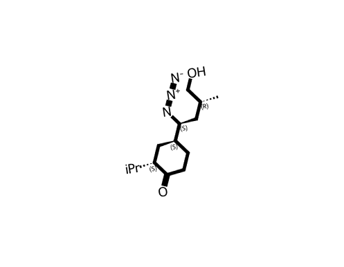 CC(C)[C@@H]1C[C@@H]([C@H](C[C@@H](C)CO)N=[N+]=[N-])CCC1=O